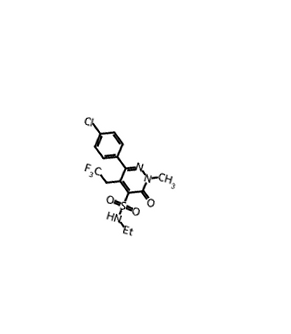 CCNS(=O)(=O)c1c(CC(F)(F)F)c(-c2ccc(Cl)cc2)nn(C)c1=O